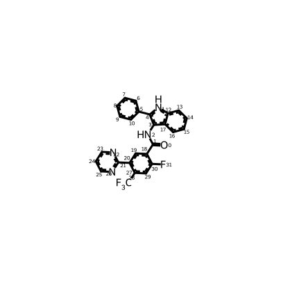 O=C(Nc1c(-c2ccccc2)[nH]c2ccccc12)c1cc(-c2ncccn2)c(C(F)(F)F)cc1F